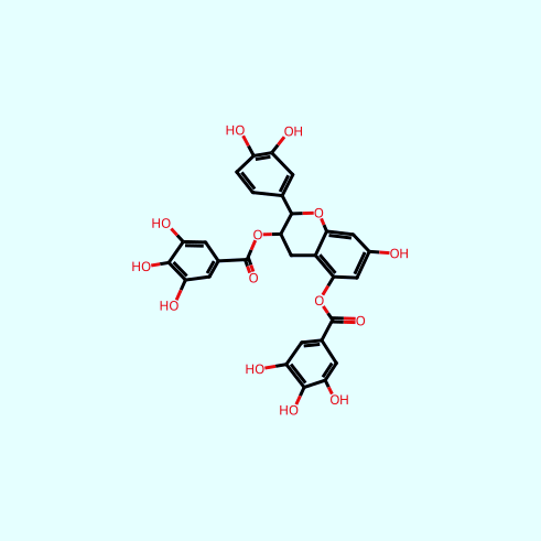 O=C(Oc1cc(O)cc2c1CC(OC(=O)c1cc(O)c(O)c(O)c1)C(c1ccc(O)c(O)c1)O2)c1cc(O)c(O)c(O)c1